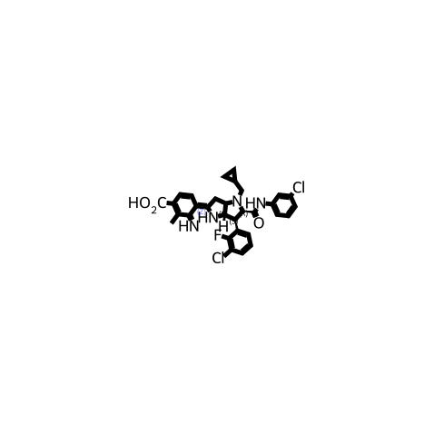 CC1=C(C(=O)O)C=C/C(=C2\CC3[C@@H](N2)[C@H](c2cccc(Cl)c2F)[C@H](C(=O)Nc2cccc(Cl)c2)N3CC2CC2)C1=N